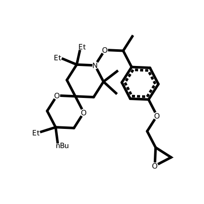 CCCCC1(CC)COC2(CC(C)(C)N(OC(C)c3ccc(OCC4CO4)cc3)C(CC)(CC)C2)OC1